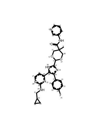 CC1(C(=O)Nc2cccnc2)COC(c2nc(-c3ccc(F)cc3)c(-c3ccnc(NCC4CC4)n3)[nH]2)OC1